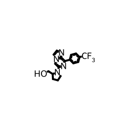 OCC1CCCN1c1cn2ccnc2c(-c2ccc(C(F)(F)F)cc2)n1